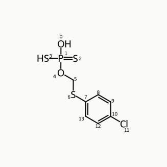 OP(=S)(S)OCSc1ccc(Cl)cc1